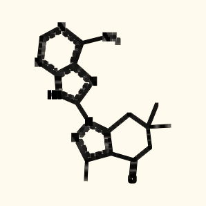 Cc1nn(-c2nc3c(N)ncnc3[nH]2)c2c1C(=O)CC(C)(C)C2